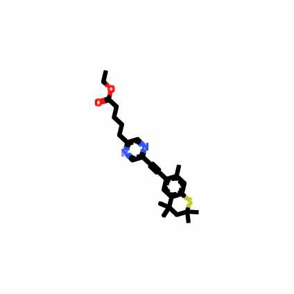 CCOC(=O)CCCCc1cnc(C#Cc2cc3c(cc2C)SC(C)(C)CC3(C)C)cn1